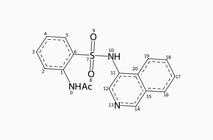 CC(=O)Nc1ccccc1S(=O)(=O)Nc1cn[c]c2ccccc12